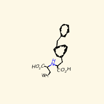 CC(C)C[C@H](NC(Cc1ccc(Cc2ccccc2)cc1)C(=O)O)C(=O)O